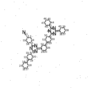 N#Cc1ccc(-c2nc(-c3ccc(-c4ccccc4)cc3)nc(-c3cccc(-c4ccc(-c5nc(-c6ccccc6)nc(-c6ccccc6)n5)cc4)c3)n2)cc1